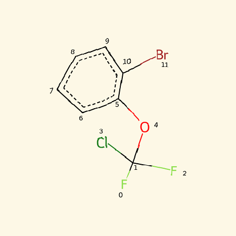 FC(F)(Cl)Oc1ccccc1Br